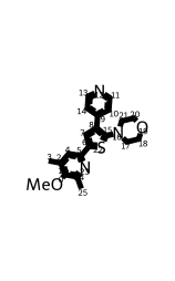 COc1c(C)cc(-c2cc(-c3ccncc3)c(N3CCOCC3)s2)nc1C